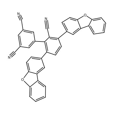 N#Cc1cc(C#N)cc(-c2c(-c3ccc4oc5ccccc5c4c3)ccc(-c3ccc4oc5ccccc5c4c3)c2C#N)c1